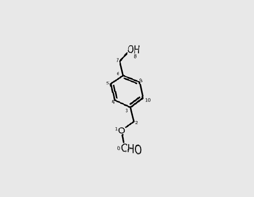 O=COCc1ccc(CO)cc1